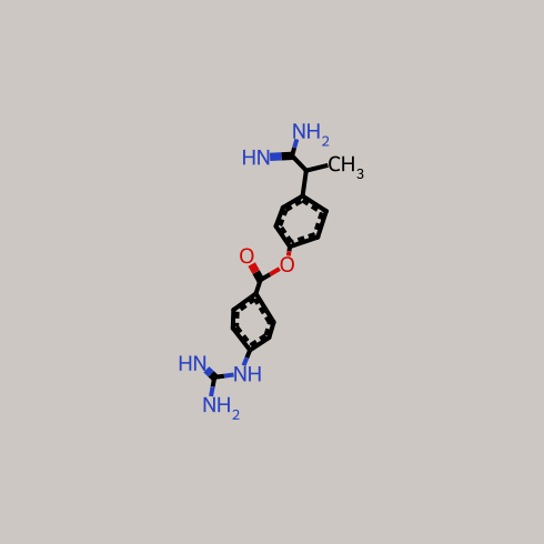 CC(C(=N)N)c1ccc(OC(=O)c2ccc(NC(=N)N)cc2)cc1